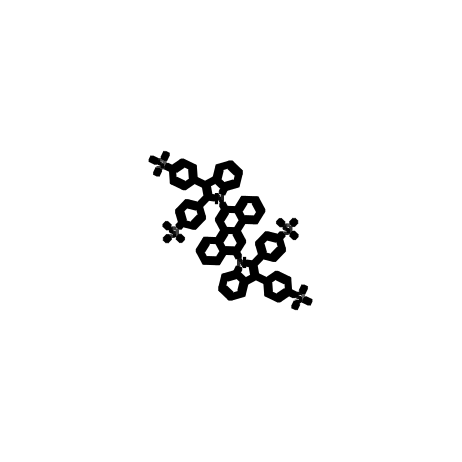 C[Si](C)(C)c1ccc(-c2c(-c3ccc([Si](C)(C)C)cc3)n(-c3cc4c5ccccc5c(-n5c(-c6ccc([Si](C)(C)C)cc6)c(-c6ccc([Si](C)(C)C)cc6)c6ccccc65)cc4c4ccccc34)c3ccccc23)cc1